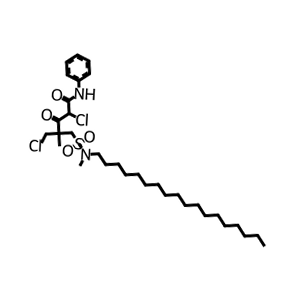 CCCCCCCCCCCCCCCCCCN(C)S(=O)(=O)CC(C)(CCl)C(=O)C(Cl)C(=O)Nc1ccccc1